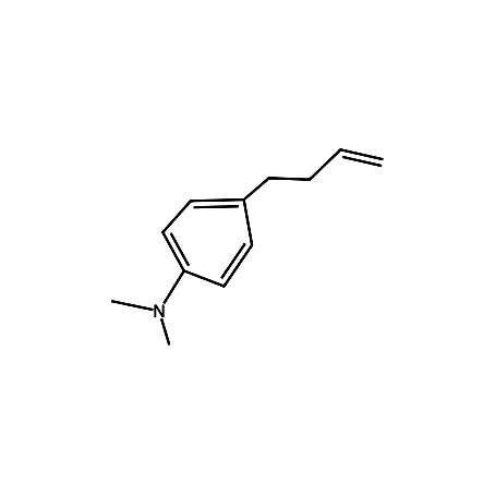 C=CCCc1ccc(N(C)C)cc1